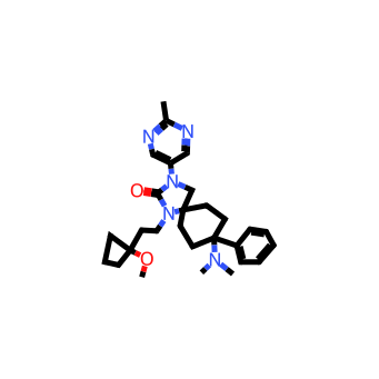 COC1(CCN2C(=O)N(c3cnc(C)nc3)CC23CCC(c2ccccc2)(N(C)C)CC3)CCC1